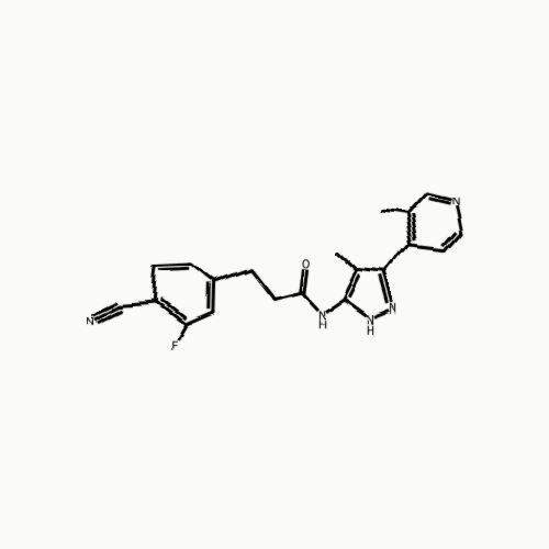 Cc1cnccc1-c1n[nH]c(NC(=O)CCc2ccc(C#N)c(F)c2)c1C